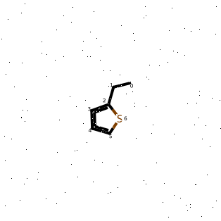 CCC1=C=C=CS1